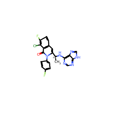 C[C@H](Nc1ncnc2[nH]cnc12)c1cc2ccc(F)c(Cl)c2c(=O)n1-c1ccc(F)cc1